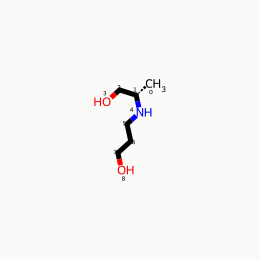 C[C@@H](CO)NCCCO